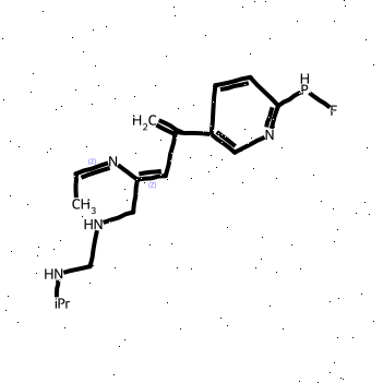 C=C(/C=C(CNCNC(C)C)\N=C/C)c1ccc(PF)nc1